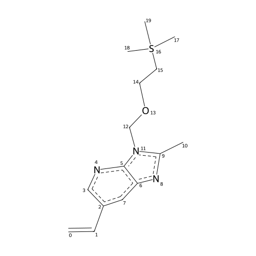 C=Cc1cnc2c(c1)nc(C)n2COCCS(C)(C)C